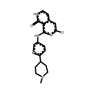 CN1CCC(c2ccc(Nc3nc(Cl)cc4cc[nH]c(=O)c34)cn2)CC1